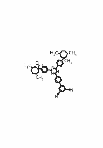 CCC1(c2ccc(-c3nc(-c4ccc(-c5cc(C#N)cc(C#N)c5)cc4)nc(-c4ccc(C5(C)CC(C)CC[C@H](C)C5)cc4)n3)cc2)CC(C)CC[C@H](C)C1